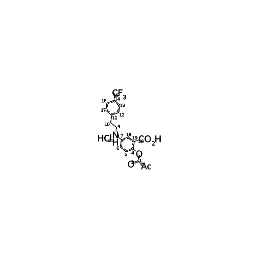 CC(=O)C(=O)Oc1ccc(NCCc2ccc(C(F)(F)F)cc2)cc1C(=O)O.Cl